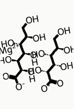 O=C([O-])[C@H](O)[C@@H](O)[C@H](O)[C@H](O)CO.O=C([O-])[C@H](O)[C@@H](O)[C@H](O)[C@H](O)[C@H](O)CO.[Mg+2]